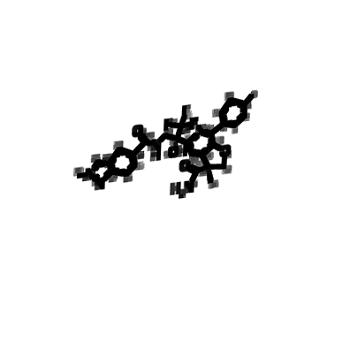 Cc1ccc(-c2nc([C@@](O)(CNC(=O)c3ccc4nn(C)cc4c3)C(F)(F)F)cc3c2OC[C@]3(C)C(N)=O)cc1